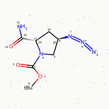 CC(C)(C)OC(=O)N1C[C@H](N=[N+]=[N-])C[C@H]1C(N)=O